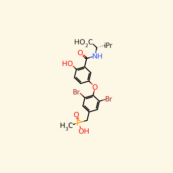 CC(C)[C@H](NC(=O)c1cc(Oc2c(Br)cc(CP(C)(=O)O)cc2Br)ccc1O)C(=O)O